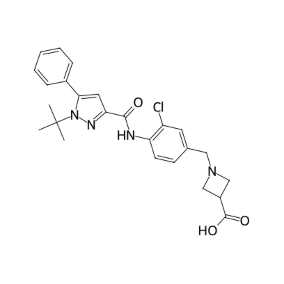 CC(C)(C)n1nc(C(=O)Nc2ccc(CN3CC(C(=O)O)C3)cc2Cl)cc1-c1ccccc1